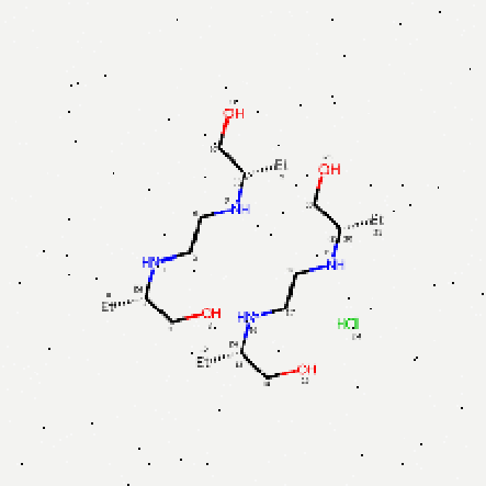 CC[C@@H](CO)NCCN[C@@H](CC)CO.CC[C@@H](CO)NCCN[C@@H](CC)CO.Cl